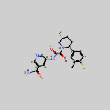 Cc1cc([C@@H]2CC[C@@H](C)CN2C(=O)C(=O)Nc2cncc(C(N)=O)c2)ccc1F